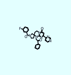 O=C(CN1c2nc(-c3ccncn3)cc(=O)n2CCC12CCN(C(=O)c1cccc(F)c1)C2)c1ccccc1